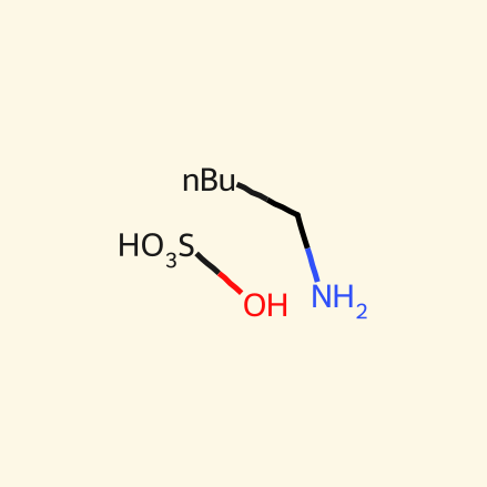 CCCCCN.O=S(=O)(O)O